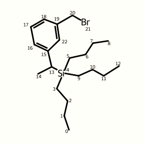 CCCC[Si](CCCC)(CCCC)C(C)c1cccc(CBr)c1